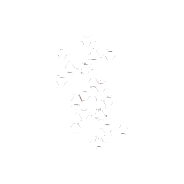 O=C(c1ccccc1-c1cccc(-c2nc(-c3cc(-c4ccccc4)cc(-c4ccccc4)c3)nc(-c3cc(-c4ccccc4)cc(-c4ccccc4)c3)n2)c1)c1ccccc1-c1cccc(-c2nc(-c3cc(-c4ccccc4)cc(-c4ccccc4)c3)nc(-c3cc(-c4ccccc4)cc(-c4ccccc4)c3)n2)c1